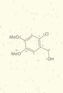 COc1cc(Cl)c(CO)cc1OC